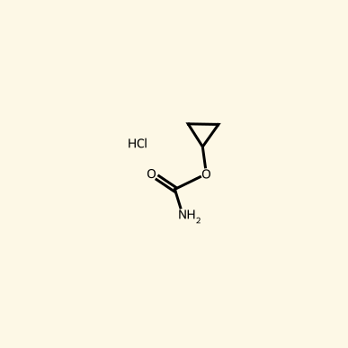 Cl.NC(=O)OC1CC1